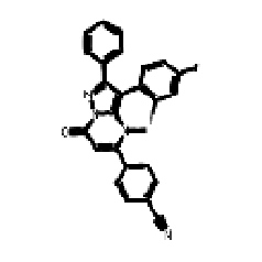 Cn1c(-c2ccc(C#N)cc2)cc(=O)n2nc(-c3ccccc3)c(-c3ccc(F)cc3F)c12